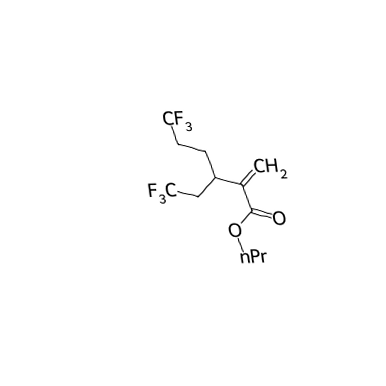 C=C(C(=O)OCCC)C(CCC(F)(F)F)CC(F)(F)F